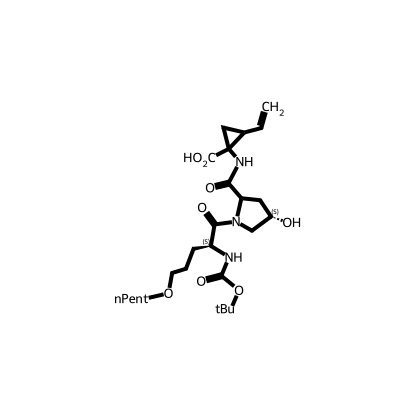 C=CC1CC1(NC(=O)C1C[C@H](O)CN1C(=O)[C@H](CCCOCCCCC)NC(=O)OC(C)(C)C)C(=O)O